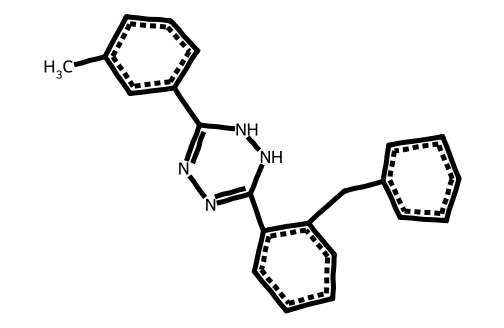 Cc1cccc(C2=NN=C(c3ccccc3Cc3ccccc3)NN2)c1